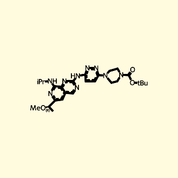 CO[C@H](C)c1cc2cnc(Nc3ccc(N4CCN(C(=O)OC(C)(C)C)CC4)nn3)nc2c(NC(C)C)n1